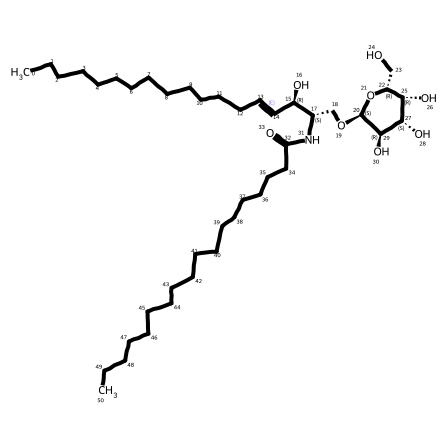 CCCCCCCCCCCCC/C=C/[C@@H](O)[C@H](CO[C@H]1O[C@H](CO)[C@H](O)[C@H](O)[C@H]1O)NC(=O)CCCCCCCCCCCCCCCCC